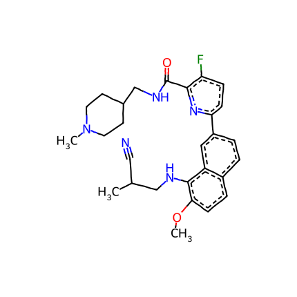 COc1ccc2ccc(-c3ccc(F)c(C(=O)NCC4CCN(C)CC4)n3)cc2c1NCC(C)C#N